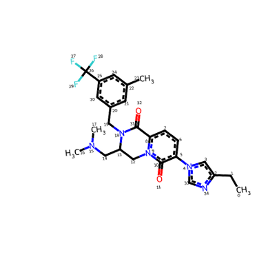 CCc1cn(-c2ccc3n(c2=O)CC(CN(C)C)N(Cc2cc(C)cc(C(F)(F)F)c2)C3=O)cn1